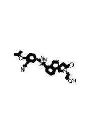 CC(C)Oc1ccc(-c2nnc(-c3cccc4c3CC[C@]43CC(=O)N(CCO)C3)s2)cc1C#N